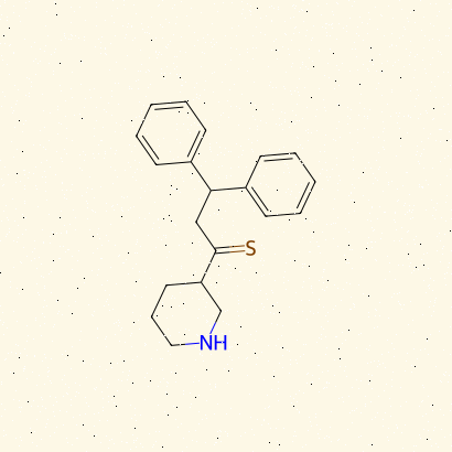 S=C(CC(c1ccccc1)c1ccccc1)C1CCCNC1